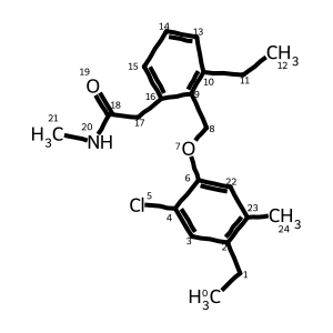 CCc1cc(Cl)c(OCc2c(CC)cccc2CC(=O)NC)cc1C